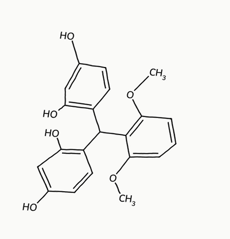 COc1cccc(OC)c1C(c1ccc(O)cc1O)c1ccc(O)cc1O